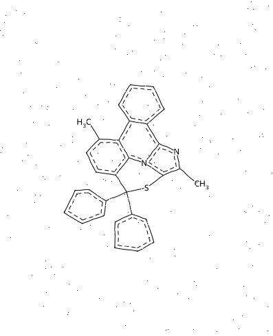 Cc1nc2c3ccccc3c3c(C)ccc4c3n2c1SC4(c1ccccc1)c1ccccc1